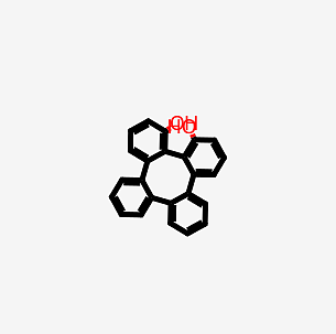 Oc1cccc2c1-c1c(O)cccc1-c1ccccc1-c1ccccc1-2